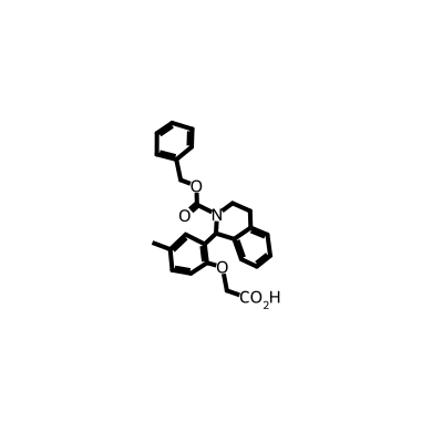 Cc1ccc(OCC(=O)O)c(C2c3ccccc3CCN2C(=O)OCc2ccccc2)c1